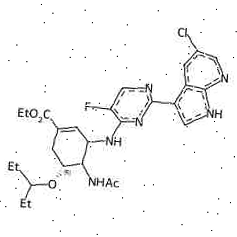 CCOC(=O)C1=CC(Nc2nc(-c3c[nH]c4ncc(Cl)cc34)ncc2F)C(NC(C)=O)[C@H](OC(CC)CC)C1